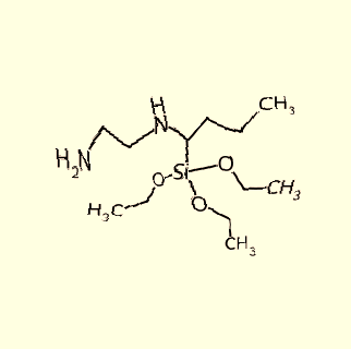 CCCC(NCCN)[Si](OCC)(OCC)OCC